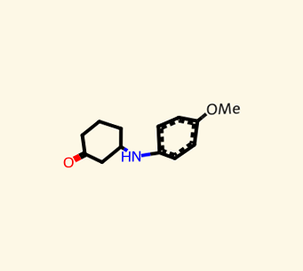 COc1ccc(NC2CCCC(=O)C2)cc1